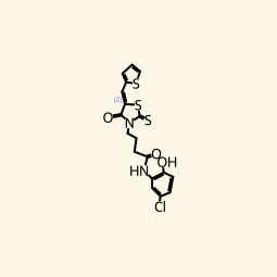 O=C(CCCN1C(=O)/C(=C/c2cccs2)SC1=S)Nc1cc(Cl)ccc1O